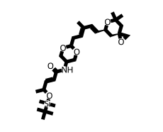 CC(C=C[C@@H]1C[C@]2(CO2)CC(C)(C)O1)=CCC1OCC(NC(=O)C=CC(C)O[Si](C)(C)C(C)(C)C)CO1